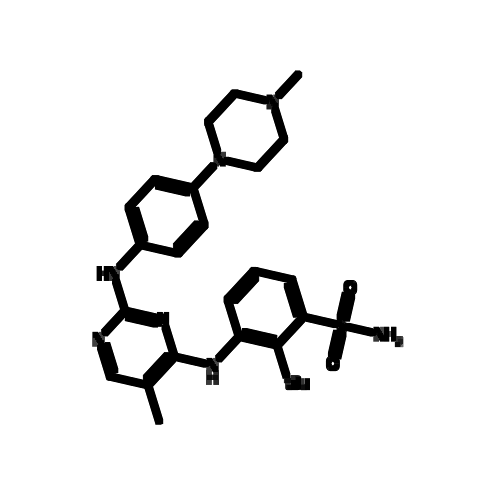 Cc1cnc(Nc2ccc(N3CCN(C)CC3)cc2)nc1Nc1cccc(S(N)(=O)=O)c1C(C)(C)C